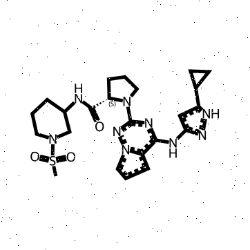 CS(=O)(=O)N1CCCC(NC(=O)[C@@H]2CCCN2c2nc(Nc3cc(C4CC4)[nH]n3)c3cccn3n2)C1